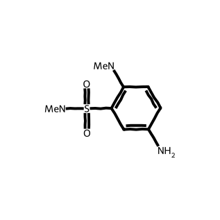 CNc1ccc(N)cc1S(=O)(=O)NC